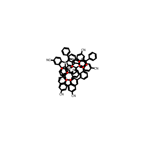 N#Cc1ccc2c(c1)c1ccccc1n2-c1cccnc1-c1c(-c2nc(-c3ccccc3)nc(-c3ccccc3)n2)cccc1-n1c2ccc(C#N)cc2c2ccc(-c3cccc(-c4nc(-c5ccccc5)nc(-c5cccc(-n6c7ccc(C#N)cc7c7cc(C#N)ccc76)c5-c5ncccc5-n5c6ccc(C#N)cc6c6cc(C#N)ccc65)n4)c3)cc21